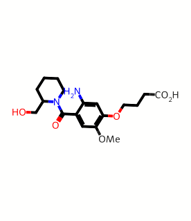 COc1cc(C(=O)N2CCCCC2CO)c(N)cc1OCCCC(=O)O